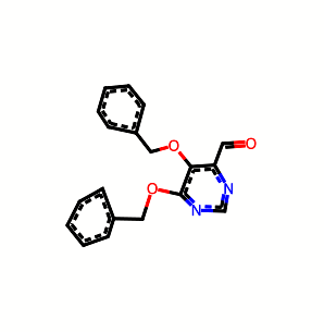 O=Cc1ncnc(OCc2ccccc2)c1OCc1ccccc1